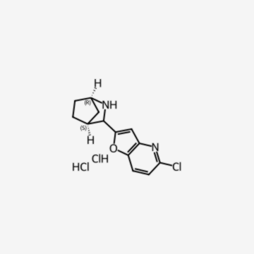 Cl.Cl.Clc1ccc2oc(C3N[C@@H]4CC[C@H]3C4)cc2n1